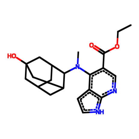 CCOC(=O)c1cnc2[nH]ccc2c1N(C)C1C2CC3CC1CC(O)(C3)C2